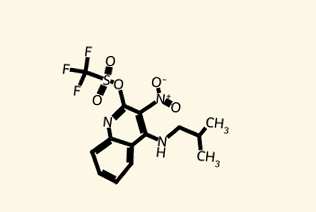 CC(C)CNc1c([N+](=O)[O-])c(OS(=O)(=O)C(F)(F)F)nc2ccccc12